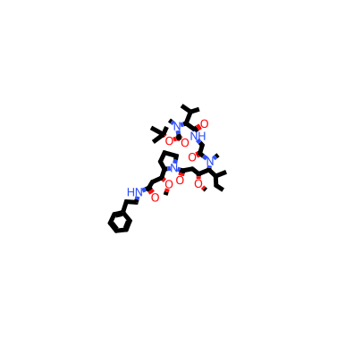 CCC(C)C(C(CC(=O)N1CCCC1C(CC(=O)NCCc1ccccc1)OC)OC)N(C)C(=O)CNC(=O)C(C(C)C)N(C)C(=O)OC(C)(C)C